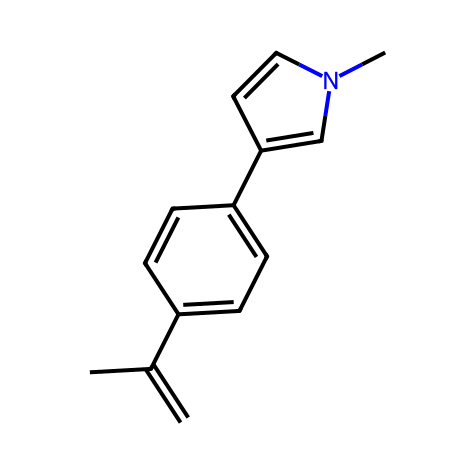 C=C(C)c1ccc(-c2ccn(C)c2)cc1